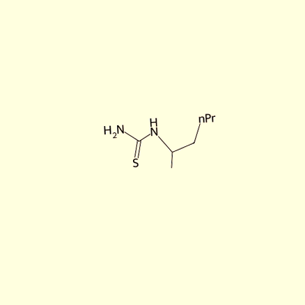 CCCCC(C)NC(N)=S